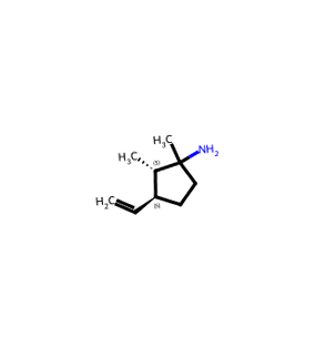 C=C[C@@H]1CCC(C)(N)[C@H]1C